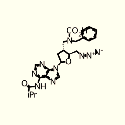 CC(C)C(=O)Nc1ncnc2c1ncn2[C@H]1C[C@H](CN(Cc2ccccc2)C(=O)O)[C@@H](CN=[N+]=[N-])O1